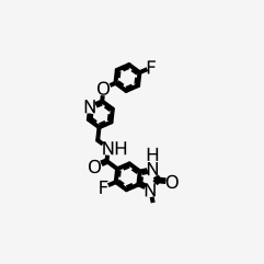 Cn1c(=O)[nH]c2cc(C(=O)NCc3ccc(Oc4ccc(F)cc4)nc3)c(F)cc21